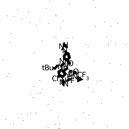 CC(C)(C)CCNC(=N)N(C(=O)c1ccc(-n2cnnc2)cc1)[C@H](COC(=O)NC1(C(F)(F)F)CC1)c1ccc(Cl)c(-n2ncnc2C(F)F)c1